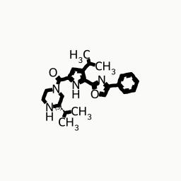 CC(C)c1cc(C(=O)N2CCN[C@@H](C(C)C)C2)[nH]c1-c1nc(-c2ccccc2)co1